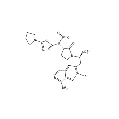 CCc1cc2c(N)nccc2cc1C[C@H](C(=O)O)N1CC[C@H](N(c2cnc(N3CCCC3)s2)[SH](=O)=O)C1=O